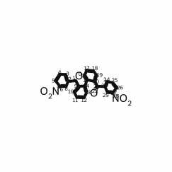 O=C(c1cccc([N+](=O)[O-])c1)c1ccccc1-c1ccccc1C(=O)c1cccc([N+](=O)[O-])c1